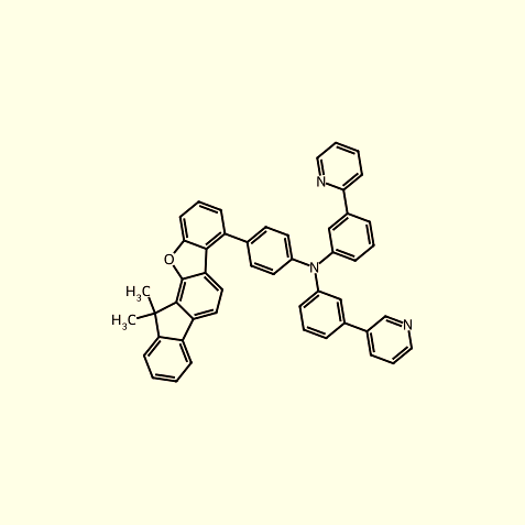 CC1(C)c2ccccc2-c2ccc3c(oc4cccc(-c5ccc(N(c6cccc(-c7cccnc7)c6)c6cccc(-c7ccccn7)c6)cc5)c43)c21